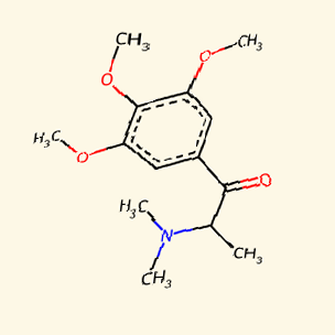 COc1cc(C(=O)C(C)N(C)C)cc(OC)c1OC